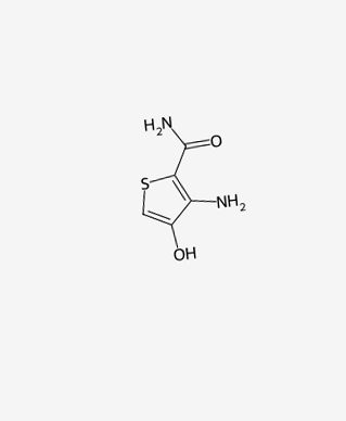 NC(=O)c1scc(O)c1N